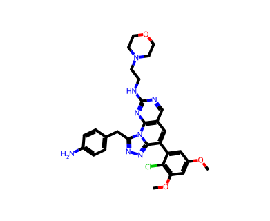 COc1cc(OC)c(Cl)c(-c2cc3cnc(NCCN4CCOCC4)nc3n3c(Cc4ccc(N)cc4)nnc23)c1